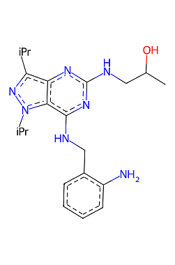 CC(O)CNc1nc(NCc2ccccc2N)c2c(n1)c(C(C)C)nn2C(C)C